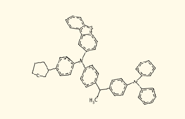 CC(c1ccc(N(c2ccccc2)c2ccccc2)cc1)c1ccc(N(c2ccc(C3CCCCC3)cc2)c2ccc3sc4ccccc4c3c2)cc1